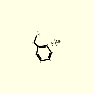 CC(C)Cc1ccccc1.Cl.N